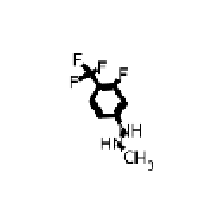 CNNc1ccc(C(F)(F)F)c(F)c1